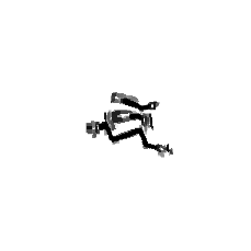 CCCCCC.CO.ClCCl